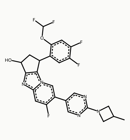 CC1CN(c2ncc(-c3cn4c5c(nc4cc3F)C(O)CC5c3cc(F)c(F)cc3OC(F)F)cn2)C1